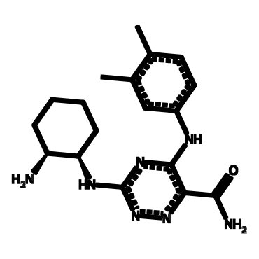 Cc1ccc(Nc2nc(N[C@@H]3CCCC[C@@H]3N)nnc2C(N)=O)cc1C